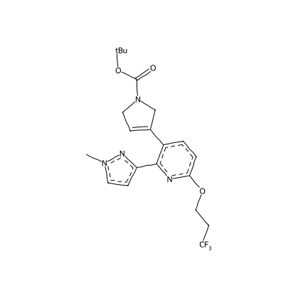 Cn1ccc(-c2nc(OCCC(F)(F)F)ccc2C2=CCN(C(=O)OC(C)(C)C)C2)n1